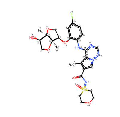 Cc1c(C(=O)N=S2(=O)CCOCC2)cn2ncnc(Nc3ccc(F)cc3O[C@@H]3CO[C@H]4[C@@H]3OC[C@H]4O)c12